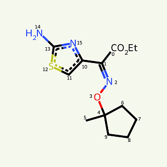 CCOC(=O)C(=NOC1(C)CCCC1)c1csc(N)n1